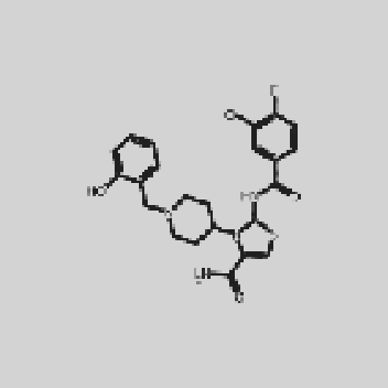 NC(=O)C1=CSC(NC(=O)c2ccc(F)c(Cl)c2)N1C1CCN(Cc2ccccc2O)CC1